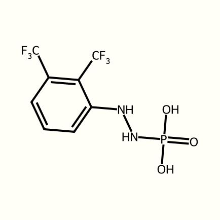 O=P(O)(O)NNc1cccc(C(F)(F)F)c1C(F)(F)F